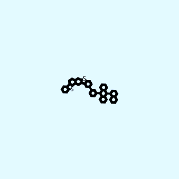 c1cc(-c2ccc3sc4cc5ccc6c7ccccc7sc6c5cc4c3c2)cc(-c2c3ccccc3c(-c3cccc4ccccc34)c3ccccc23)c1